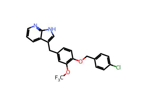 FC(F)(F)Oc1cc(Cc2c[nH]c3ncccc23)ccc1OCc1ccc(Cl)cc1